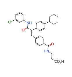 O=C(O)CCNC(=O)c1ccc(CC(C(=O)Nc2cccc(Cl)c2)c2ccc(C3CCCCC3)cc2)cc1